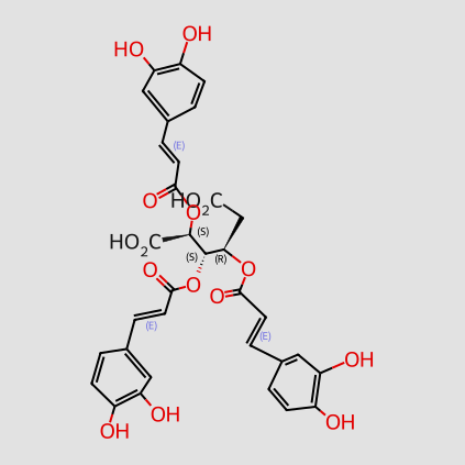 O=C(O)C[C@@H](OC(=O)/C=C/c1ccc(O)c(O)c1)[C@H](OC(=O)/C=C/c1ccc(O)c(O)c1)[C@H](OC(=O)/C=C/c1ccc(O)c(O)c1)C(=O)O